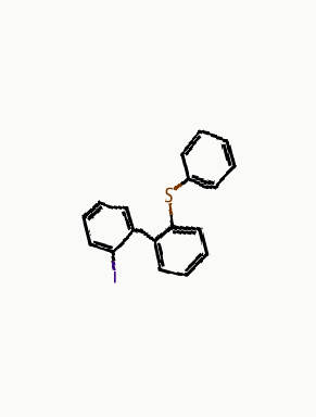 Ic1ccccc1-c1ccccc1Sc1ccccc1